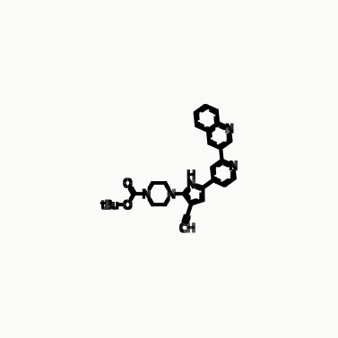 C#Cc1cc(-c2ccnc(-c3cnc4ccccc4c3)c2)[nH]c1N1CCN(C(=O)OC(C)(C)C)CC1